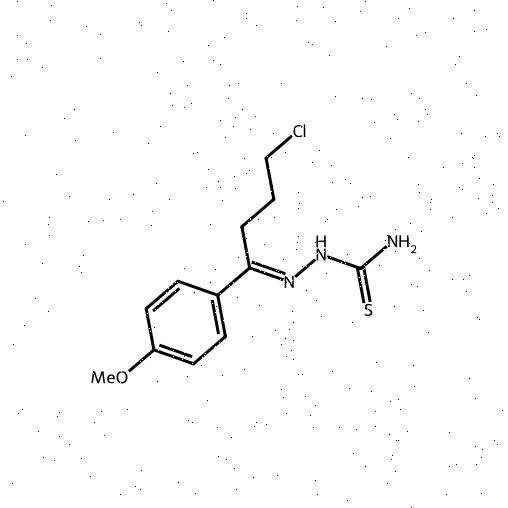 COc1ccc(/C(CCCCl)=N/NC(N)=S)cc1